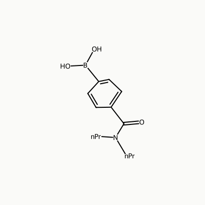 CCCN(CCC)C(=O)c1ccc(B(O)O)cc1